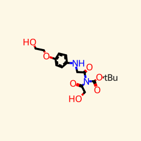 CC(C)(C)OC(=O)N(C(=O)CO)C(=O)CNc1ccc(OCCO)cc1